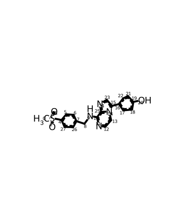 CS(=O)(=O)c1ccc(CNc2nccn3c(-c4ccc(O)cc4)cnc23)cc1